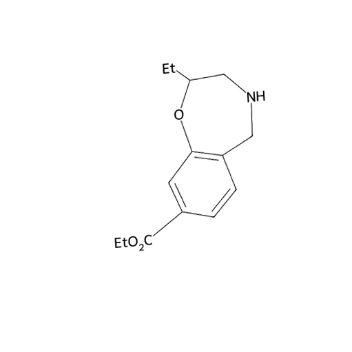 CCOC(=O)c1ccc2c(c1)OC(CC)CNC2